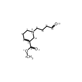 COC(=O)C1=CCCN(CCCC=O)C1